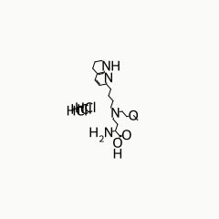 COCCN(CCCCc1ccc2c(n1)NCCC2)CC[C@H](N)C(=O)O.Cl.Cl.Cl